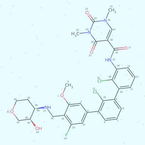 COc1cc(-c2cccc(-c3cccc(NC(=O)c4cn(C)c(=O)n(C)c4=O)c3Cl)c2Cl)cc(F)c1CN[C@@H]1CCOC[C@@H]1O